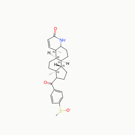 C[S+]([O-])c1ccc(C(=O)C2CC[C@H]3[C@@H]4CCC5NC(=O)C=C[C@]5(C)[C@@H]4CC[C@]23C)cc1